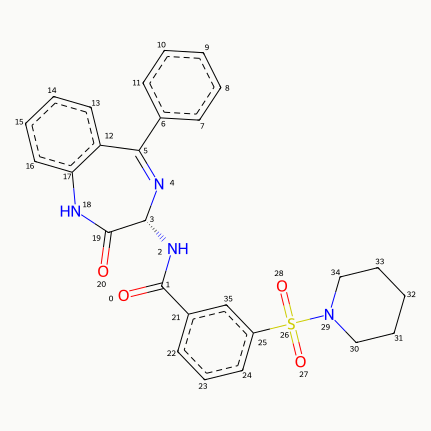 O=C(N[C@H]1N=C(c2ccccc2)c2ccccc2NC1=O)c1cccc(S(=O)(=O)N2CCCCC2)c1